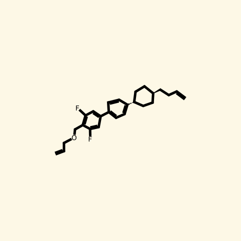 C=CCC[C@H]1CC[C@H](c2ccc(-c3cc(F)c(COCC=C)c(F)c3)cc2)CC1